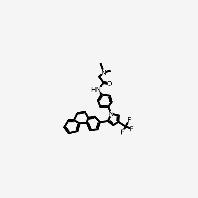 CN(C)CC(=O)Nc1ccc(-n2cc(C(F)(F)F)cc2-c2ccc3c(ccc4ccccc43)c2)cc1